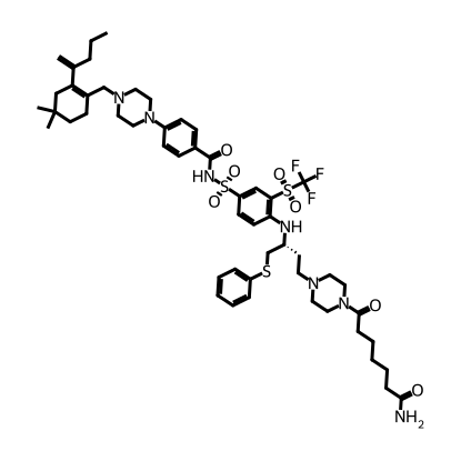 C=C(CCC)C1=C(CN2CCN(c3ccc(C(=O)NS(=O)(=O)c4ccc(N[C@H](CCN5CCN(C(=O)CCCCCC(N)=O)CC5)CSc5ccccc5)c(S(=O)(=O)C(F)(F)F)c4)cc3)CC2)CCC(C)(C)C1